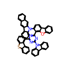 c1ccc2cc3c(cc2c1)c1ccccc1n3-c1ccc2c(oc3ccccc32)c1-c1nc(-c2cccc3sc4ccccc4c23)nc(-n2c3ccccc3c3ccccc32)n1